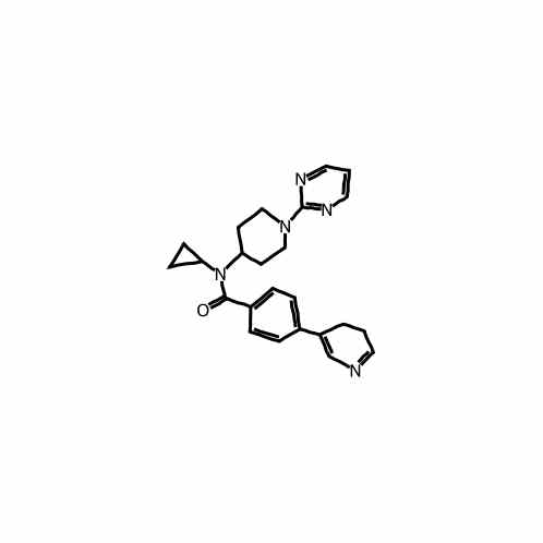 O=C(c1ccc(C2=CN=CCC2)cc1)N(C1CC1)C1CCN(c2ncccn2)CC1